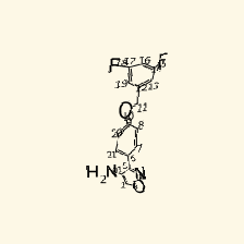 Nc1conc1-c1ccc(OCc2cc(F)cc(F)c2)cc1